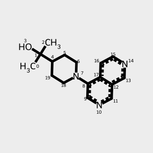 CC(C)(O)C1CCN(c2cncc3cnccc23)CC1